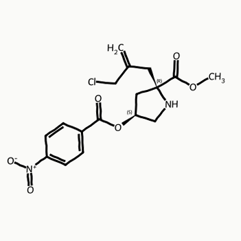 C=C(CCl)C[C@]1(C(=O)OC)C[C@H](OC(=O)c2ccc([N+](=O)[O-])cc2)CN1